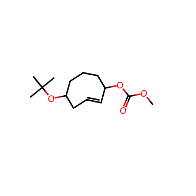 COC(=O)OC1/C=C/CC(OC(C)(C)C)CCC1